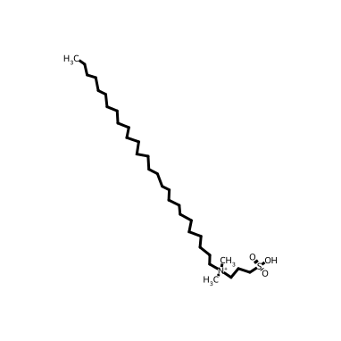 CCCCCCCCCCCCCCCCCCCCCCCCCCC[N+](C)(C)CCCS(=O)(=O)O